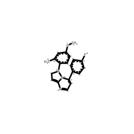 COc1ccc(N2CC=C3N=CC=C(c4ccc(F)cc4)N32)c(C)c1